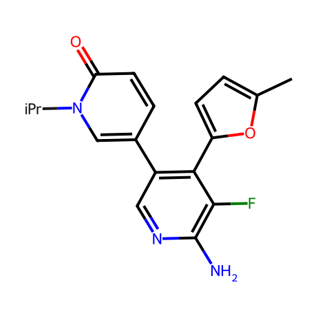 Cc1ccc(-c2c(-c3ccc(=O)n(C(C)C)c3)cnc(N)c2F)o1